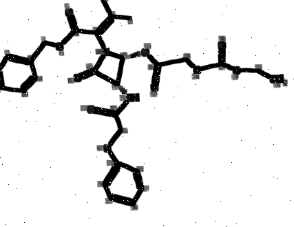 CC(C)=C(C(=O)OCc1ccccc1)N1C(=O)[C@@H](NC(=O)COc2ccccc2)[C@H]1OC(=O)COC(=O)OCC(Cl)(Cl)Cl